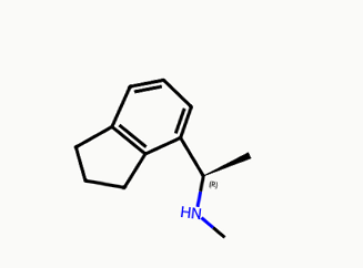 CN[C@H](C)c1cccc2c1CCC2